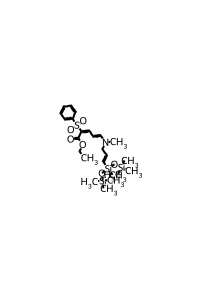 CCOC(=O)/C(=C\C=C\N(C)C/C=C/[Si](C)(O[Si](C)(C)C)O[Si](C)(C)C)S(=O)(=O)c1ccccc1